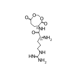 N=C(N)NCCC[C@H](N)C(=O)N[C@H]1CCC(=O)OCOC1=O